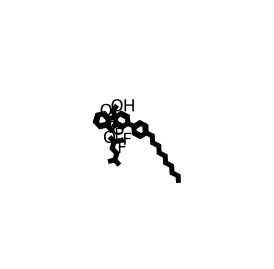 CCCCCCCCCCc1ccc(C2C=CC(C(=O)O)(c3ccccc3C(=O)OC(CCC(C)C)C(F)(F)F)C(F)=C2)cc1